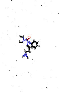 CCN(CC)C(=O)n1cc(CCN(C)C)c2ccccc21